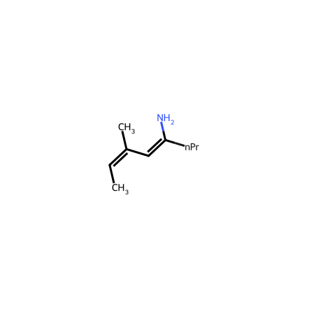 C/C=C(C)\C=C(/N)CCC